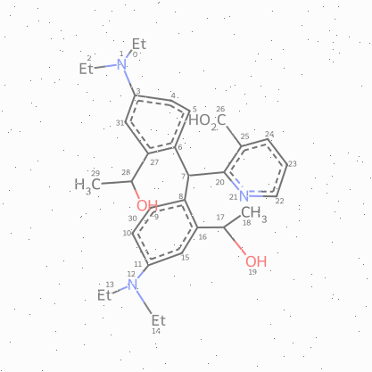 CCN(CC)c1ccc(C(c2ccc(N(CC)CC)cc2C(C)O)c2ncccc2C(=O)O)c(C(C)O)c1